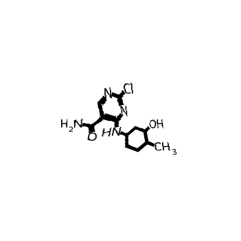 CC1CCC(Nc2nc(Cl)ncc2C(N)=O)CC1O